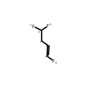 F/C=C/CC(F)F